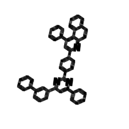 c1ccc(-c2cccc(-c3cc(-c4ccccc4)nc(-c4ccc(-c5cc(-c6ccccc6)c6c(ccc7ccccc76)n5)cc4)n3)c2)cc1